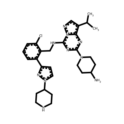 CC(C)c1cnn2c(NCc3c(Cl)cccc3-c3ccn(C4CCNCC4)n3)nc(N3CCC(N)CC3)nc12